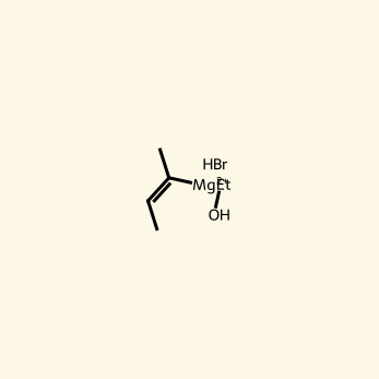 Br.CC=[C](C)[Mg+2].CCO